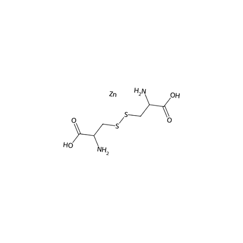 NC(CSSCC(N)C(=O)O)C(=O)O.[Zn]